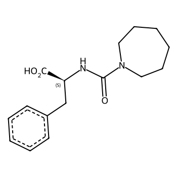 O=C(O)[C@H](Cc1ccccc1)NC(=O)N1CCCCCC1